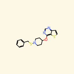 c1ccc(CSN2CCC(Oc3ncnc4ccsc34)CC2)cc1